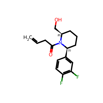 C=CCC(=O)N1[C@@H](CO)CCC[C@H]1c1ccc(F)c(F)c1